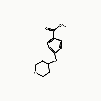 COC(=O)c1ccc(OC2CCOCC2)cc1